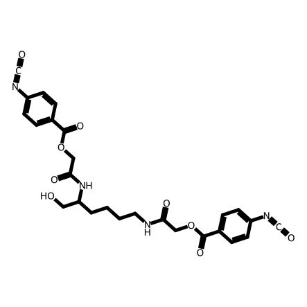 O=C=Nc1ccc(C(=O)OCC(=O)NCCCCC(CO)NC(=O)COC(=O)c2ccc(N=C=O)cc2)cc1